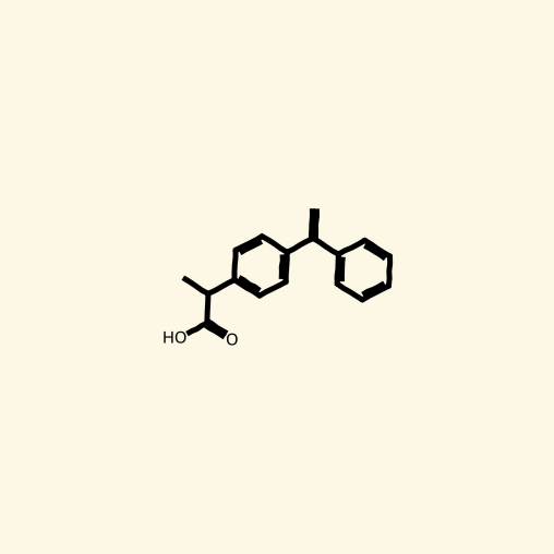 C=C(c1ccccc1)c1ccc(C(C)C(=O)O)cc1